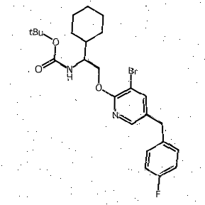 CC(C)(C)OC(=O)NC(COc1ncc(Cc2ccc(F)cc2)cc1Br)C1CCCCC1